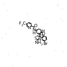 NC1=NC2(CS1)c1cc(Br)ccc1O[C@H]1CC[C@@H](NC(=O)c3ccc(C(F)(F)F)cn3)C[C@@H]12